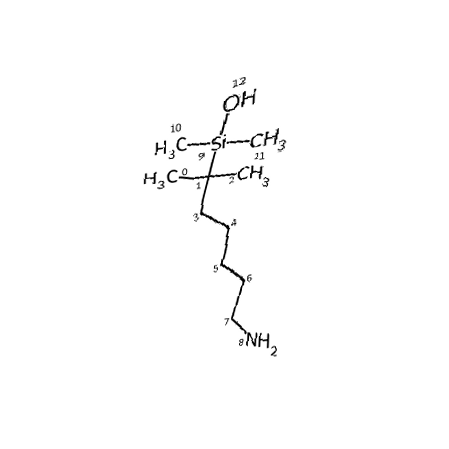 CC(C)(CCCCCN)[Si](C)(C)O